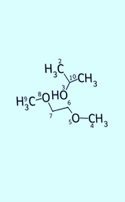 CC(C)O.COCCOC